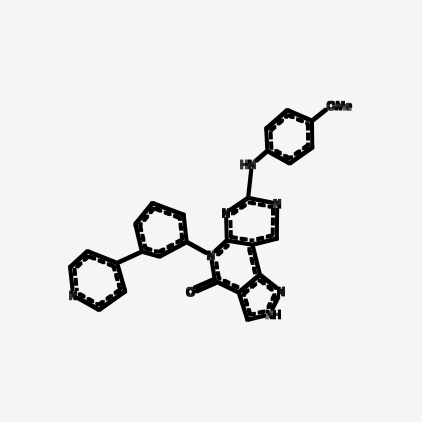 COc1ccc(Nc2ncc3c4n[nH]cc4c(=O)n(-c4cccc(-c5ccncc5)c4)c3n2)cc1